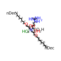 CCCCCCCCCCCCCCCCCCOCC(O)CN(CC(O)COCCCCCCCCCCCCCCCCCC)[C@@H](CCCNC(=N)N)C(=O)O.Cl